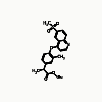 Cc1cc(C(C)C(=O)OC(C)(C)C)ccc1Oc1ccnc2ccc(S(C)(=O)=O)cc12